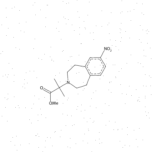 COC(=O)C(C)(C)N1CCc2ccc([N+](=O)[O-])cc2CC1